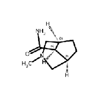 CN1C[C@H]2CC[C@@H](C1)[C@H]2C(N)=O